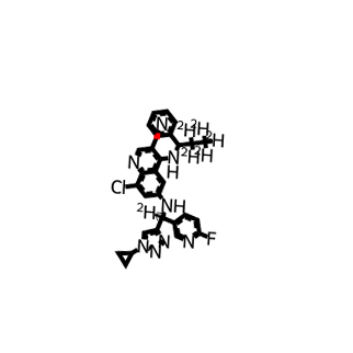 [2H]C([2H])([2H])C([2H])([2H])C(Nc1c(C#N)cnc2c(Cl)cc(N[C@]([2H])(c3ccc(F)nc3)c3cn(C4CC4)nn3)cc12)c1ccccc1